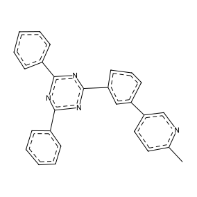 Cc1ccc(-c2cccc(-c3nc(-c4ccccc4)nc(-c4ccccc4)n3)c2)cn1